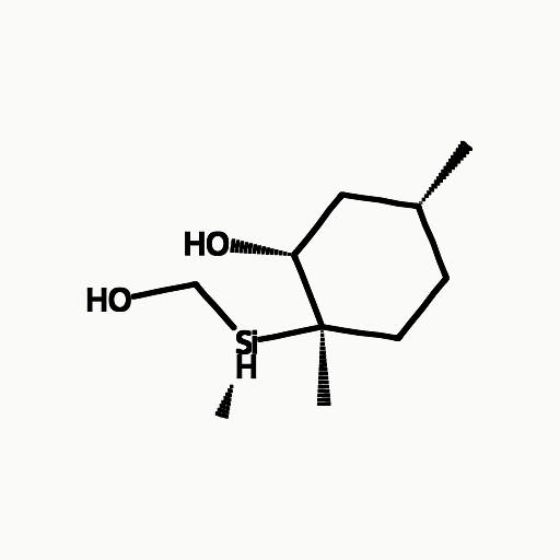 C[C@@H]1CC[C@@](C)([Si@H](C)CO)[C@H](O)C1